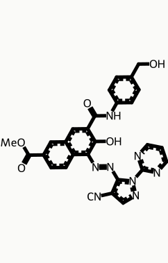 [C-]#[N+]c1cnn(-c2ncccn2)c1/N=N/c1c(O)c(C(=O)Nc2ccc(CO)cc2)cc2cc(C(=O)OC)ccc12